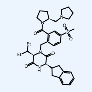 CCC(CC)[C@@H]1C(=O)N[C@H](C2Cc3ccccc3C2)C(=O)N1Cc1ccc(S(C)(=O)=O)cc1C(=O)N1CCC[C@H]1CN1CCCC1